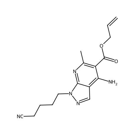 C=CCOC(=O)c1c(C)nc2c(cnn2CCCCC#N)c1N